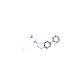 C=C(C)OC(=O)N[C@H](Cc1ccc(-c2ccccc2)cc1)C(=O)O